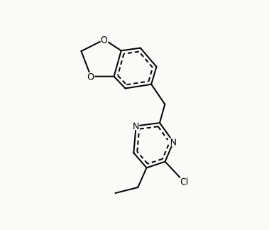 CCc1cnc(Cc2ccc3c(c2)OCO3)nc1Cl